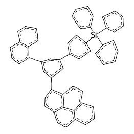 c1ccc([Si](c2ccccc2)(c2ccccc2)c2ccc(-c3cc(-c4cccc5ccccc45)cc(-c4ccc5ccc6cccc7ccc4c5c67)c3)cc2)cc1